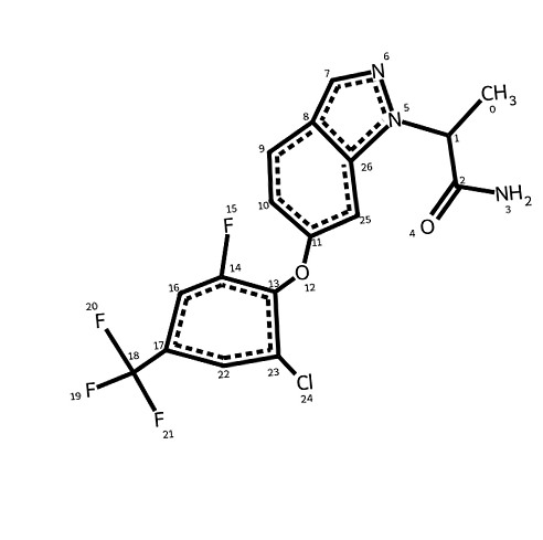 CC(C(N)=O)n1ncc2ccc(Oc3c(F)cc(C(F)(F)F)cc3Cl)cc21